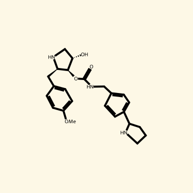 COc1ccc(C[C@H]2NC[C@H](O)[C@H]2OC(=O)NCc2ccc(C3CCCN3)cc2)cc1